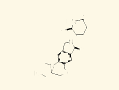 CN1c2cc3c(cc2OC[C@@H]1CO)C(=O)N([C@H]1CCC(=O)NC1=O)C3